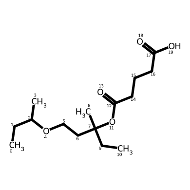 CCC(C)OCCC(C)(CC)OC(=O)CCCC(=O)O